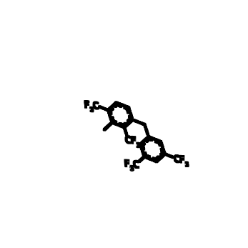 Cc1c(C(F)(F)F)ccc(Cc2cc(C(F)(F)F)cc(C(F)(F)F)c2)c1C(F)(F)F